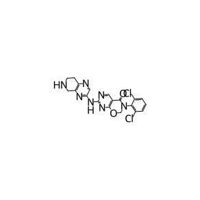 O=C1c2cnc(Nc3cnc4c(n3)CNCC4)nc2OCN1c1c(Cl)cccc1Cl